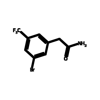 NC(=O)Cc1cc(Br)cc(C(F)(F)F)c1